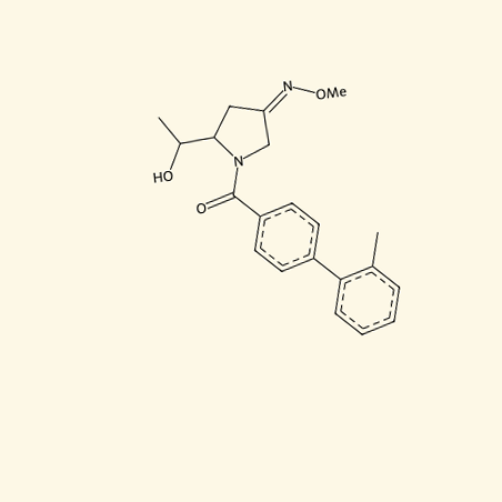 CON=C1CC(C(C)O)N(C(=O)c2ccc(-c3ccccc3C)cc2)C1